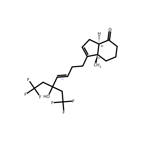 C[C@]12CCCC(=O)[C@@H]1CC=C2CC/C=C/C(O)(CC(F)(F)F)CC(F)(F)F